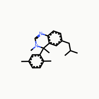 Cc1ccc(C)c(C2(C)c3cc(CC(C)C)ccc3N=CN2C)c1